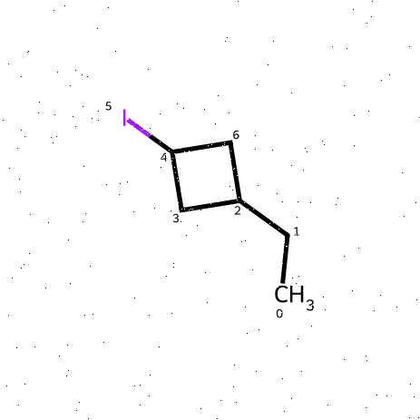 CCC1CC(I)C1